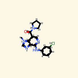 Cn1cnc2c(Nc3cccc(Cl)c3)ncc(C(=O)N3CCCC3)c21